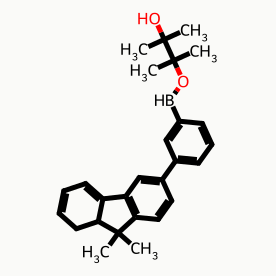 CC1(C)c2ccc(-c3cccc(BOC(C)(C)C(C)(C)O)c3)cc2C2=CC=CCC21